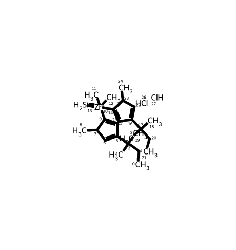 CCC(C)(C)C1=CC(C)[C]([Zr]([CH3])([CH3])(=[SiH2])[C]2=CC(C(C)(C)CC)=CC2C)=C1.Cl.Cl